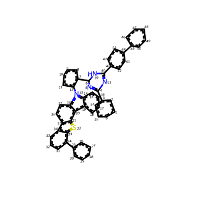 c1ccc(C2=NC(c3ccccc3-n3c4ccccc4c4c5sc6c(-c7ccccc7)cccc6c5ccc43)NC(c3ccc(-c4ccccc4)cc3)=N2)cc1